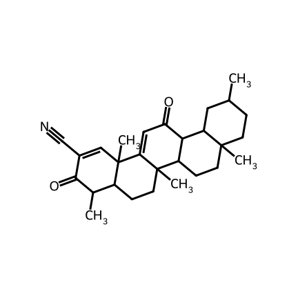 CC1CCC2(C)CCC3C(C(=O)C=C4C5(C)C=C(C#N)C(=O)C(C)C5CCC43C)C2C1